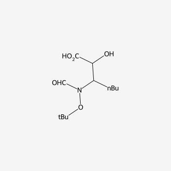 CCCCC(C(O)C(=O)O)N(C=O)OC(C)(C)C